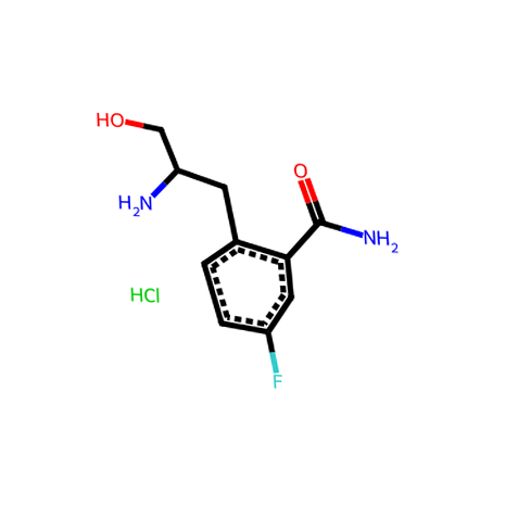 Cl.NC(=O)c1cc(F)ccc1CC(N)CO